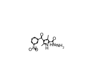 Cc1[nH]c(C(=O)NN)c(C)c1C(=O)c1cccc([N+](=O)[O-])c1